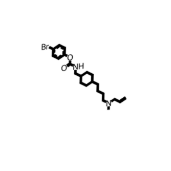 C=CCN(C)CCCCC1CCC(CNC(=O)Oc2ccc(Br)cc2)CC1